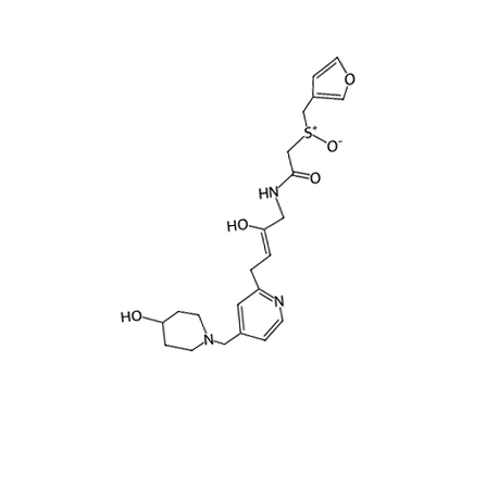 O=C(C[S+]([O-])Cc1ccoc1)NCC(O)=CCc1cc(CN2CCC(O)CC2)ccn1